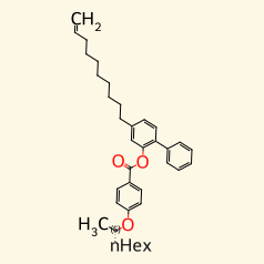 C=CCCCCCCCCc1ccc(-c2ccccc2)c(OC(=O)c2ccc(O[C@@H](C)CCCCCC)cc2)c1